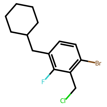 Fc1c(CC2CCCCC2)ccc(Br)c1CCl